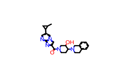 CC1CC1c1cnc2nc(C(=O)N3CCC(N4CCc5ccccc5C4)C(O)C3)cn2c1